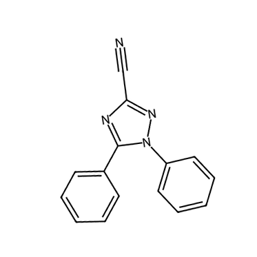 N#Cc1nc(-c2ccccc2)n(-c2ccccc2)n1